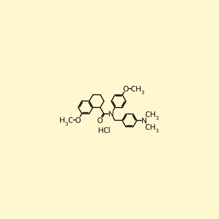 COc1ccc(N(Cc2ccc(N(C)C)cc2)C(=O)C2CCCc3ccc(OC)cc32)cc1.Cl